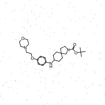 CC(C)(C)OC(=O)N1CCC2(CCC(Nc3ccc(OCCN4CCOCC4)cc3)CC2)C1